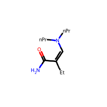 CCCN(C=C(CC)C(N)=O)CCC